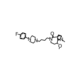 COC1CCN(CCCCN2CCN(c3ccc(F)cc3)CC2)C(=O)c2ccn(C)c21